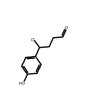 O=CCCC(Cl)c1ccc(O)cc1